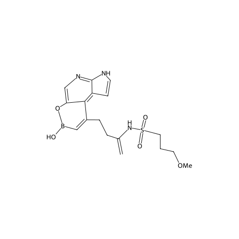 C=C(CCC1=CB(O)Oc2cnc3[nH]ccc3c21)NS(=O)(=O)CCCOC